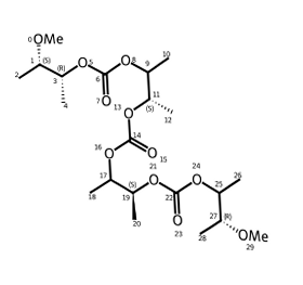 CO[C@@H](C)[C@@H](C)OC(=O)OC(C)[C@H](C)OC(=O)OC(C)[C@H](C)OC(=O)OC(C)[C@@H](C)OC